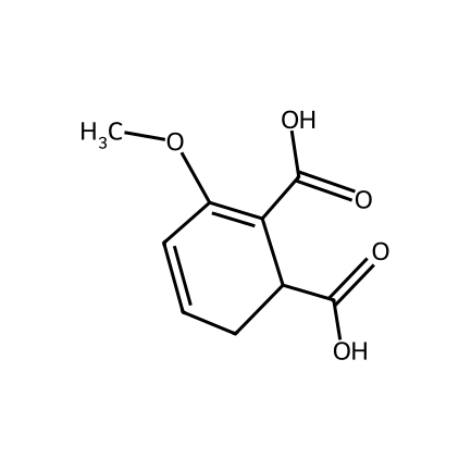 COC1=C(C(=O)O)C(C(=O)O)CC=C1